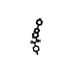 CN1CCC(C(=O)Nc2cc3cc(-c4ccncc4)cn3cn2)CC1